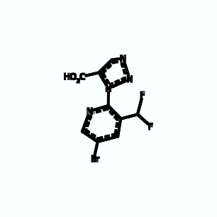 O=C(O)c1cnnn1-c1ncc(Br)cc1C(F)F